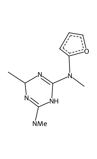 CNC1=NC(C)N=C(N(C)c2ccco2)N1